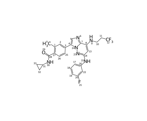 Cc1cc(-c2cnc3c(NCCC(F)(F)F)cc(Nc4cccc(F)c4)nn23)ccc1C(=O)NC1CC1